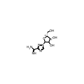 N=C(N)c1ncn(C2O[C@H](CO)[C@H](O)C2O)n1